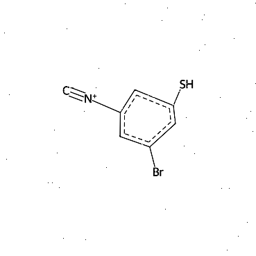 [C-]#[N+]c1cc(S)cc(Br)c1